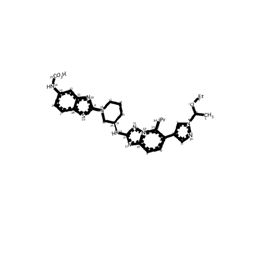 CCOC(C)n1cc(-c2ccc3nc(N[C@@H]4CCCN(c5nc6cc(NC(=O)O)ccc6s5)C4)nn3c2C(C)C)cn1